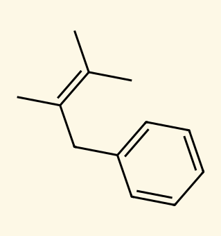 CC(C)=C(C)Cc1ccccc1